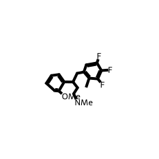 CNCCC(Cc1cc(F)c(F)c(F)c1C)c1ccccc1OC